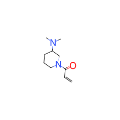 C=CC(=O)N1CCCC(N(C)C)C1